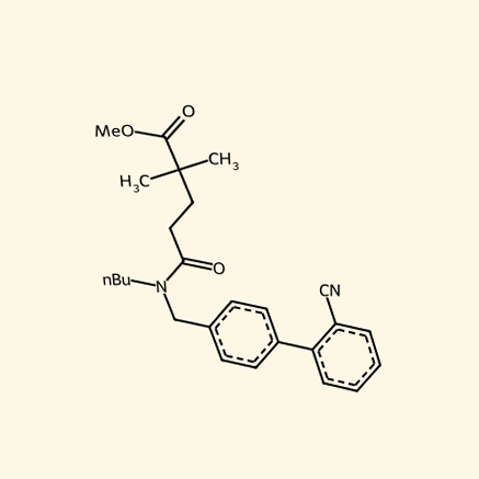 CCCCN(Cc1ccc(-c2ccccc2C#N)cc1)C(=O)CCC(C)(C)C(=O)OC